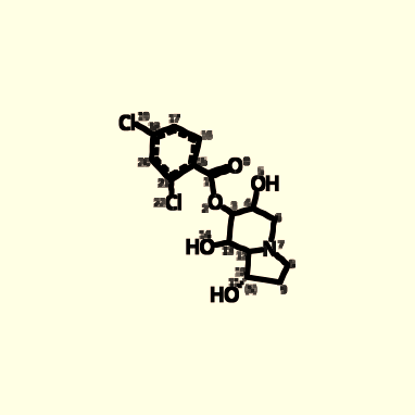 O=C(OC1C(O)CN2CC[C@H](O)C2C1O)c1ccc(Cl)cc1Cl